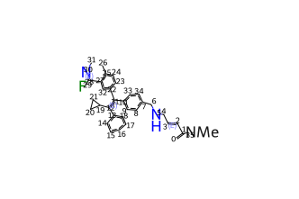 C=C(/C=C/CNCc1ccc(/C(=C(\c2ccccc2)C2CC2)c2ccc(C)c(/C(F)=N\C)c2)cc1)NC